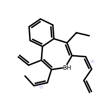 C=C/C=C\C1=C(CC)c2ccccc2C(C=C)=C(/C=C\C)B1